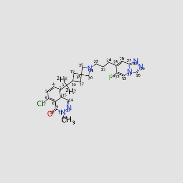 [2H]C([2H])(c1ccc(Cl)c2c(=O)n(C)ncc12)C1CC2(C1)CN(CCCc1cc3nncn3cc1F)C2